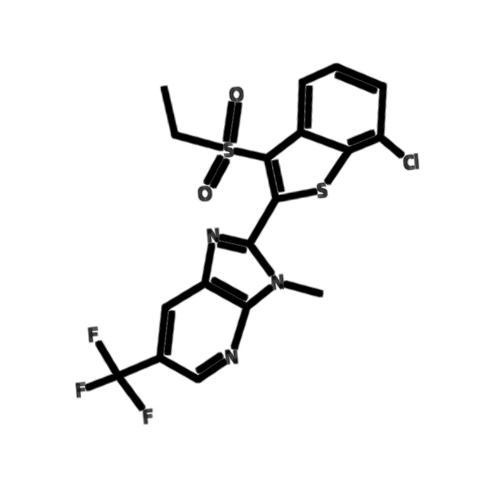 CCS(=O)(=O)c1c(-c2nc3cc(C(F)(F)F)cnc3n2C)sc2c(Cl)cccc12